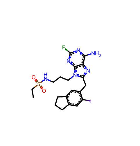 CCS(=O)(=O)NCCCn1c(Cc2cc3c(cc2I)CCC3)nc2c(N)nc(F)nc21